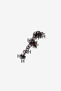 CC(C)C[C@@H](C(=O)N[C@H](C(=O)NCCOCCOCCNC(=O)C[C@H](NC(=O)c1c(F)c(F)c(N=[N+]=[N-])c(F)c1F)C(=O)NCCCOCCOCCOCCCNC(=O)CCCC[C@@H]1SC[C@@H]2NC(=O)N[C@@H]21)C(C)(C)C)[C@H](O)C(=O)NO